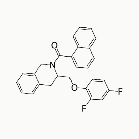 O=C(c1cccc2ccccc12)N1Cc2ccccc2CC1COc1ccc(F)cc1F